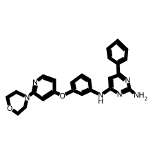 Nc1nc(Nc2cccc(Oc3ccnc(N4CCOCC4)c3)c2)cc(-c2ccccc2)n1